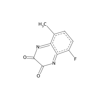 Cc1ccc(F)c2c1=NC(=O)C(=O)N=2